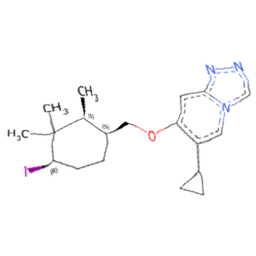 C[C@H]1[C@@H](COc2cc3nncn3cc2C2CC2)CC[C@@H](I)C1(C)C